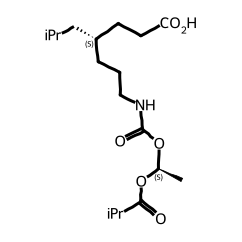 CC(C)C[C@@H](CCCNC(=O)O[C@@H](C)OC(=O)C(C)C)CCC(=O)O